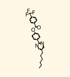 CCCCCCc1cnc(-c2ccc(OC(=O)c3ccc(C(F)(F)F)cc3)cc2)nc1